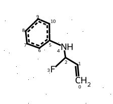 C=CC(F)Nc1ccccc1